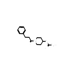 NC(=O)NC1CCN(C(=O)[CH]Cc2ccccc2)CC1